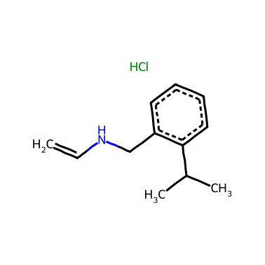 C=CNCc1ccccc1C(C)C.Cl